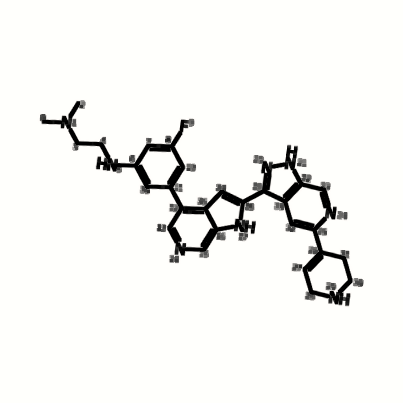 CN(C)CCNc1cc(F)cc(-c2cncc3[nH]c(-c4n[nH]c5cnc(C6=CCNCC6)cc45)cc23)c1